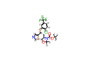 CC(C)(C)OC(=O)N1C(C[C@@H](Sc2cc(C(F)(F)F)ccc2Cl)c2cncs2)COC1(C)C